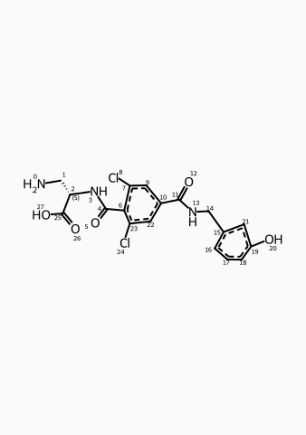 NC[C@H](NC(=O)c1c(Cl)cc(C(=O)NCc2cccc(O)c2)cc1Cl)C(=O)O